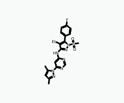 CCc1c(Nc2cc(-n3nc(C)cc3C)ncn2)nn(S(C)(=O)=O)c1-c1ccc(F)cc1